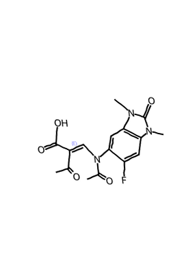 CC(=O)/C(=C\N(C(C)=O)c1cc2c(cc1F)n(C)c(=O)n2C)C(=O)O